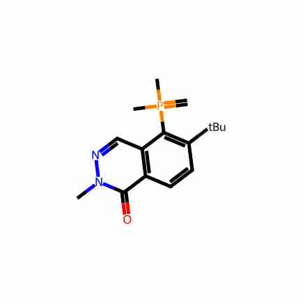 C=P(C)(C)c1c(C(C)(C)C)ccc2c(=O)n(C)ncc12